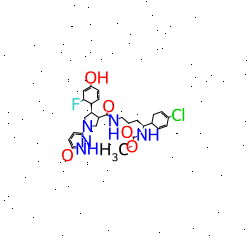 COC(=O)N[C@@H](CCCNC(=O)C1CN(c2ccc(=O)[nH]n2)C[C@H]1C1C=CC(O)=CC1F)C1C=CC(Cl)=CC1